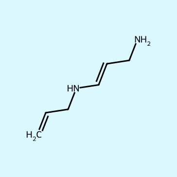 C=CCNC=CCN